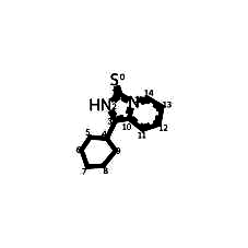 S=c1[nH]c(C2CCCCC2)c2ccccn12